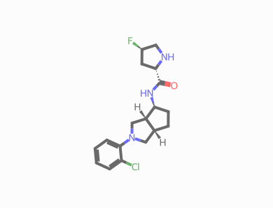 O=C(N[C@H]1CC[C@@H]2CN(c3ccccc3Cl)C[C@@H]21)[C@@H]1C[C@@H](F)CN1